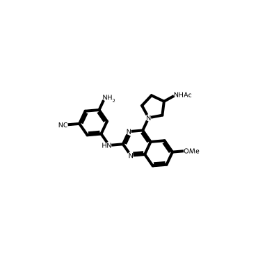 COc1ccc2nc(Nc3cc(N)cc(C#N)c3)nc(N3CCC(NC(C)=O)C3)c2c1